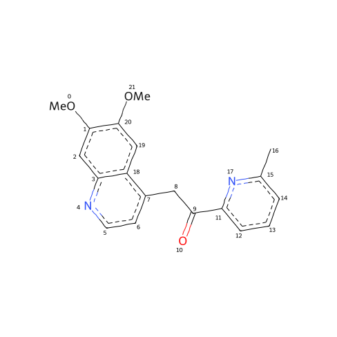 COc1cc2nccc(CC(=O)c3cccc(C)n3)c2cc1OC